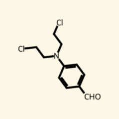 O=Cc1ccc(N(CCCl)CCCl)cc1